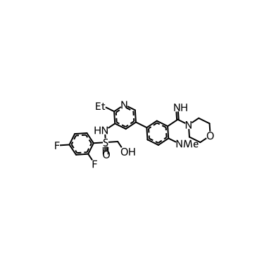 CCc1ncc(-c2ccc(NC)c(C(=N)N3CCOCC3)c2)cc1N[SH](=O)(CO)c1ccc(F)cc1F